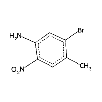 Cc1cc([N+](=O)[O-])c(N)cc1Br